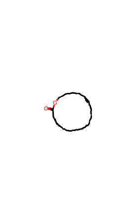 O=C1CCCCCCCCCC=CCCCCO1